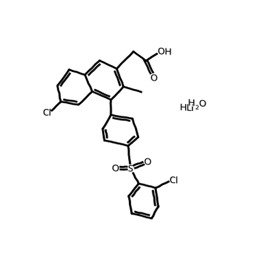 Cc1c(CC(=O)O)cc2ccc(Cl)cc2c1-c1ccc(S(=O)(=O)c2ccccc2Cl)cc1.O.[LiH]